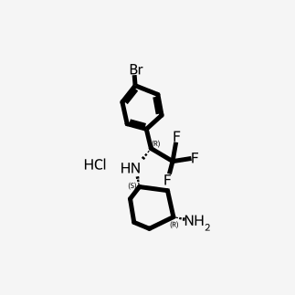 Cl.N[C@@H]1CCC[C@H](N[C@H](c2ccc(Br)cc2)C(F)(F)F)C1